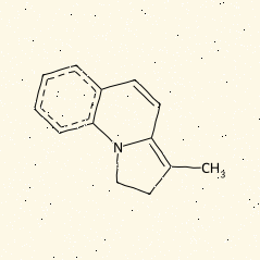 CC1=C2C=Cc3ccccc3N2CC1